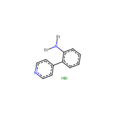 Br.CCN(CC)c1ccccc1-c1ccncc1